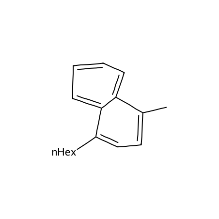 [CH2]CCCCCc1ccc(C)c2ccccc12